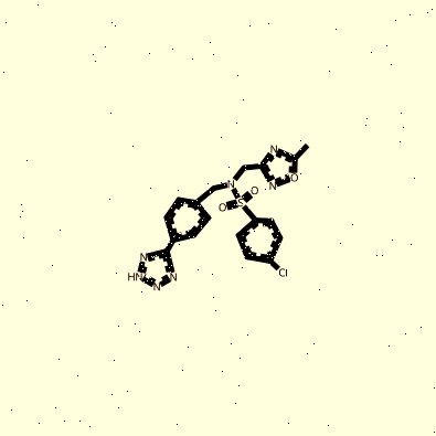 Cc1nc(CN(Cc2ccc(-c3nn[nH]n3)cc2)S(=O)(=O)c2ccc(Cl)cc2)no1